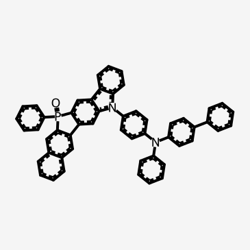 O=P1(c2ccccc2)c2cc3ccccc3cc2-c2cc3c(cc21)c1ccccc1n3-c1ccc(N(c2ccccc2)c2ccc(-c3ccccc3)cc2)cc1